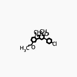 CCC(=O)c1ccc2c(c1)c1cc(-c3ccc(Cl)cc3)c(=O)n(C)c1n2C